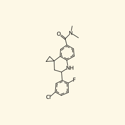 CN(C)C(=O)c1ccc2c(c1)C1(CC1)CC(c1cc(Cl)ccc1F)N2